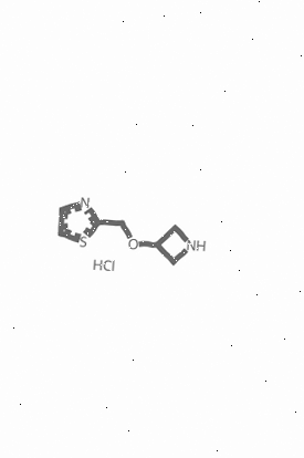 Cl.c1csc(COC2CNC2)n1